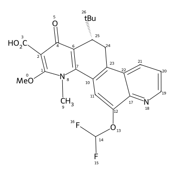 COc1c(C(=O)O)c(=O)c2c(n1C)-c1cc(OC(F)F)c3ncccc3c1C[C@H]2C(C)(C)C